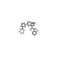 O=C(Nc1cnccc1F)c1n[nH]c2ccc(-c3cncc(N4CCCCC4)c3)cc12